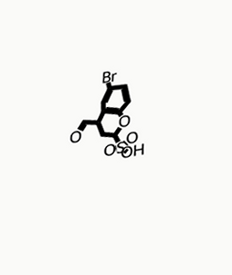 O=CC1CC(S(=O)(=O)O)Oc2ccc(Br)cc21